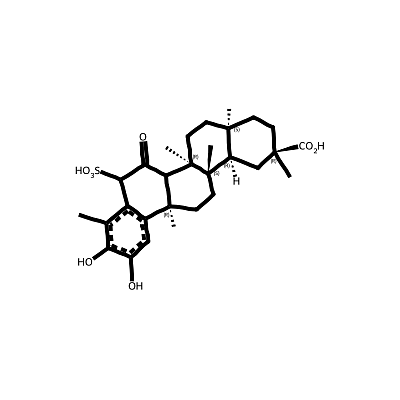 Cc1c(O)c(O)cc2c1C(S(=O)(=O)O)C(=O)C1[C@@]2(C)CC[C@@]2(C)[C@@H]3C[C@](C)(C(=O)O)CC[C@]3(C)CC[C@]12C